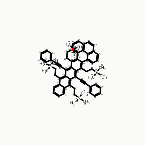 C[Si](C)(C)CCc1c2ccccc2c(CC[Si](C)(C)C)c2c(C#Cc3ccccc3)c3c(CC[Si](C)(C)C)c4c5cccc6ccc7cccc(c4c(CC[Si](C)(C)C)c3c(C#Cc3ccccc3)c12)c7c65